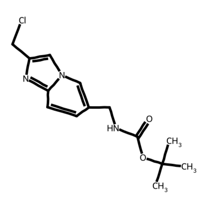 CC(C)(C)OC(=O)NCc1ccc2nc(CCl)cn2c1